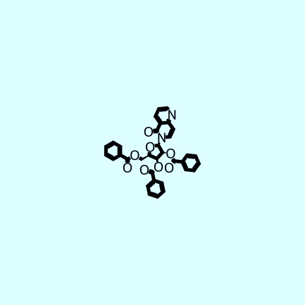 O=C(OC[C@H]1O[C@@H](n2ccc3ncccc3c2=O)[C@H](OC(=O)c2ccccc2)[C@H]1OC(=O)c1ccccc1)c1ccccc1